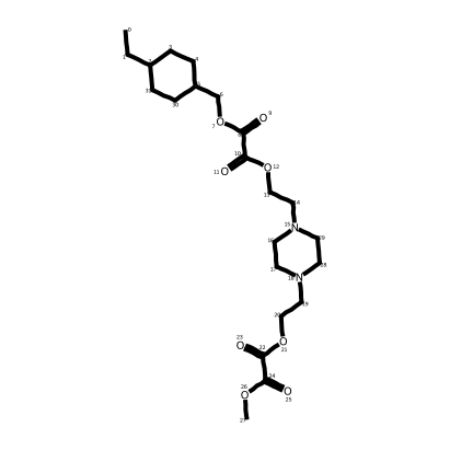 CCC1CCC(COC(=O)C(=O)OCCN2CCN(CCOC(=O)C(=O)OC)CC2)CC1